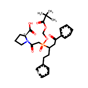 CC(C)(C)C(=O)OCOP(=O)(CC(=O)N1CCC[C@H]1C(=O)O)C(CCc1ccccc1)CC(=O)c1ccccc1